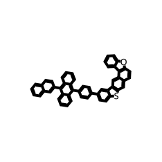 c1ccc2cc(-c3c4ccccc4c(-c4ccc(-c5ccc6sc7cc8ccc9oc%10ccccc%10c9c8cc7c6c5)cc4)c4ccccc34)ccc2c1